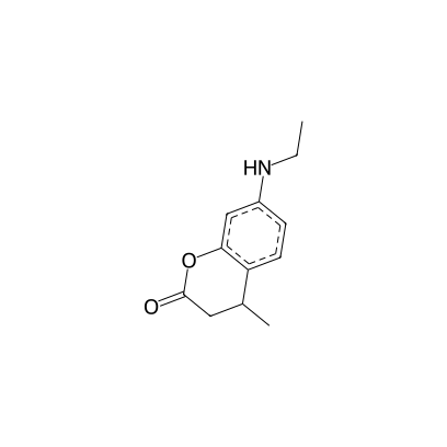 CCNc1ccc2c(c1)OC(=O)CC2C